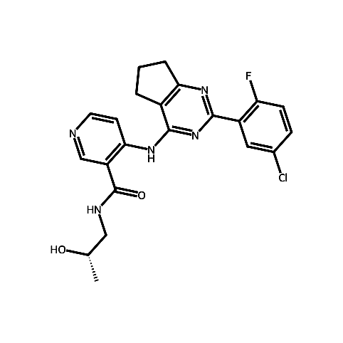 C[C@H](O)CNC(=O)c1cnccc1Nc1nc(-c2cc(Cl)ccc2F)nc2c1CCC2